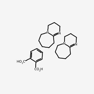 C1CCC2=NCCCN2CC1.C1CCC2=NCCCN2CC1.O=C(O)c1ccccc1C(=O)O